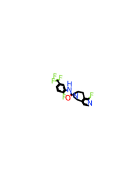 O=C(Nc1cc(C(F)(F)F)ccc1F)N1C2CCC1c1ccnc(F)c1C2